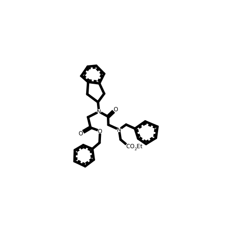 CCOC(=O)CN(CC(=O)N(CC(=O)OCc1ccccc1)C1Cc2ccccc2C1)Cc1ccccc1